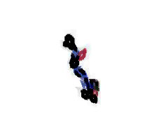 CCNC(=O)C1(CCCCN2CCN(c3ccc4c(c3)C(=O)N(Cc3cccc(C)c3)C4)CC2)c2ccccc2-c2ccccc21